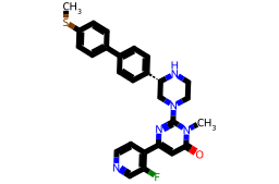 CSc1ccc(-c2ccc([C@H]3CN(c4nc(-c5ccncc5F)cc(=O)n4C)CCN3)cc2)cc1